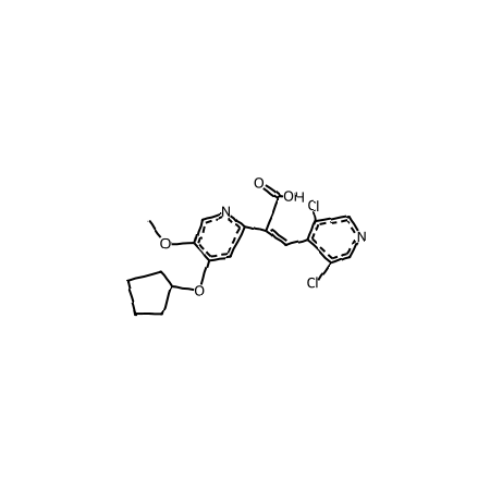 COc1cnc(C(=Cc2c(Cl)cncc2Cl)C(=O)O)cc1OC1CCCC1